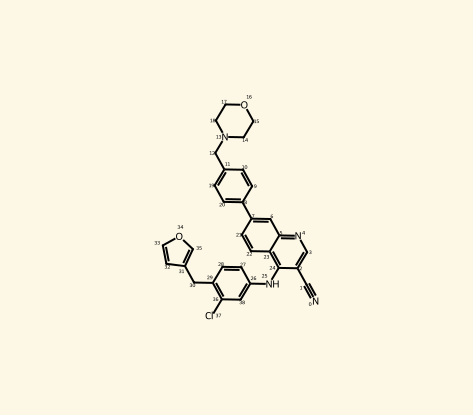 N#Cc1cnc2cc(-c3ccc(CN4CCOCC4)cc3)ccc2c1Nc1ccc(Cc2ccoc2)c(Cl)c1